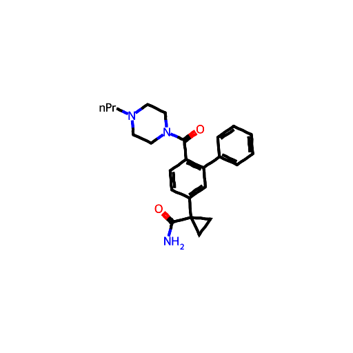 CCCN1CCN(C(=O)c2ccc(C3(C(N)=O)CC3)cc2-c2ccccc2)CC1